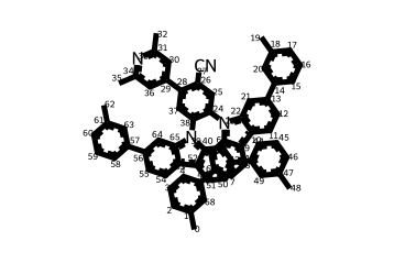 Cc1cccc(-c2ccc3c4ccc(-c5cccc(C)c5)cc4n(-c4cc(C#N)c(-c5cc(C)nc(C)c5)cc4-n4c5cc(-c6cccc(C)c6)ccc5c5ccc(-c6cccc(C)c6)cc54)c3c2)c1